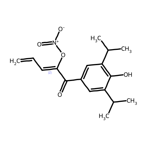 C=C/C=C(\O[N+](=O)[O-])C(=O)c1cc(C(C)C)c(O)c(C(C)C)c1